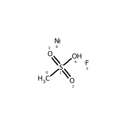 CS(=O)(=O)O.[F].[Ni]